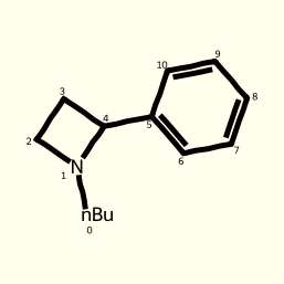 CCCCN1CCC1c1ccccc1